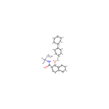 CC(C)(NC(=O)c1ccc2ccccc2c1OCc1ccc(-c2ccccc2)cc1)C(=O)O